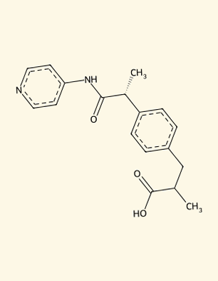 CC(Cc1ccc([C@@H](C)C(=O)Nc2ccncc2)cc1)C(=O)O